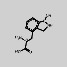 N[C@@H](Cc1cccc2c1CNB2O)C(=O)O